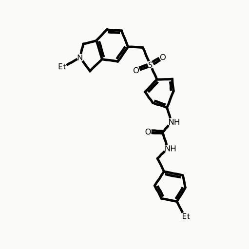 CCc1ccc(CNC(=O)Nc2ccc(S(=O)(=O)Cc3ccc4c(c3)CN(CC)C4)cc2)cc1